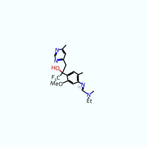 CCN(C)/C=N/c1cc(OC)c(C(O)(Cc2cc(C)ncn2)C(F)(F)F)cc1C